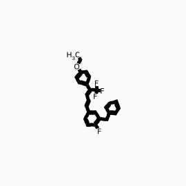 CCOc1ccc(C(=CC=Cc2ccc(F)c(Cc3ccccc3)c2)C(F)(F)F)cc1